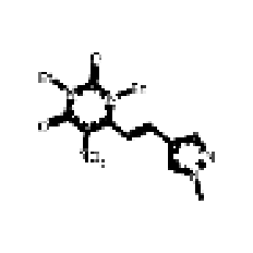 CCn1c(/C=C/c2cnn(C)c2)c([N+](=O)[O-])c(=O)n(CC)c1=O